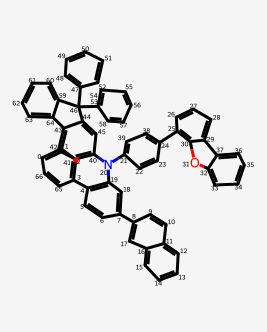 c1ccc(-c2ccc(-c3ccc4ccccc4c3)cc2N(c2ccc(-c3cccc4c3oc3ccccc34)cc2)c2ccc3c(c2)C(c2ccccc2)(c2ccccc2)c2ccccc2-3)cc1